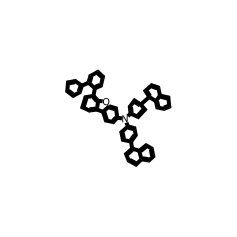 c1ccc(-c2ccccc2-c2cccc3c2oc2cc(N(c4ccc(-c5cccc6ccccc56)cc4)c4ccc(-c5cccc6ccccc56)cc4)ccc23)cc1